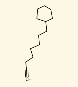 C#CCCCCCCC1CCCCC1